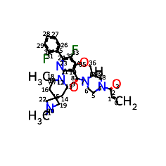 C=CC(=O)N1CCN2C(=O)c3c(N4CCC5(C[C@@H]4C)CN(C)C5)nc(-c4ccccc4F)c(F)c3OC[C@H]2C1